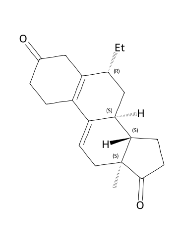 CC[C@@H]1C[C@@H]2C(=CC[C@]3(C)C(=O)CC[C@@H]23)C2=C1CC(=O)CC2